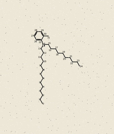 CCCCCCCCCCCCCCN(CCCCCCCCCC)c1ccccc1C